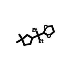 CCC(CC)(C1CCC(C)(C)C1)C1OCCO1